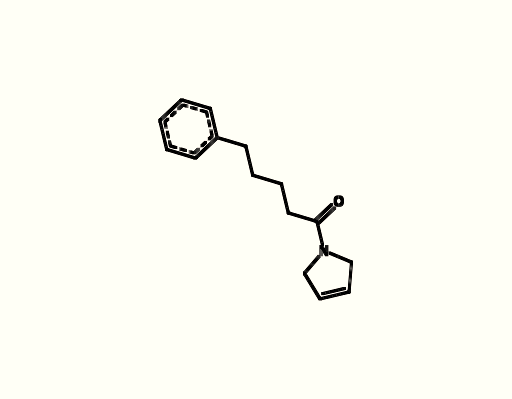 O=C(CCCCc1ccccc1)N1CC=CC1